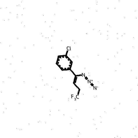 [N-]=[N+]=NC(=CCC(F)(F)F)c1cccc(Cl)c1